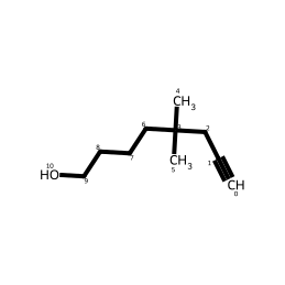 C#CCC(C)(C)CCCCO